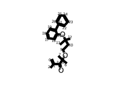 C=C(C)C(=O)C(C)(C)OCCC(C)(C)Oc1ccccc1-c1ccccc1